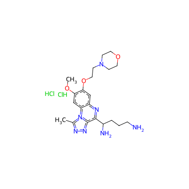 COc1cc2c(cc1OCCN1CCOCC1)nc(C(N)CCCN)c1nnc(C)n12.Cl.Cl